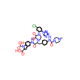 CN1CCN(C(=O)Nc2ccc(CC(C(=O)Nc3ccc4c(c3)cc(C(=O)O)n4C(=O)O)N3CCN(c4cc(Cl)ccc4-n4cnnn4)C(=O)C3=O)cc2)CC1